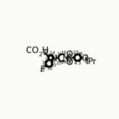 CC(C)Oc1ccc(S(=O)(=O)N2CCC(n3cc(CC(=O)O)c4cc(F)ccc43)CC2)cc1